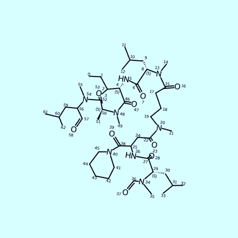 CCC(C)[C@H](NC(=O)[C@H](CC(C)C)N(C)C(=O)CCCN(C)C(=O)CC(NC(=O)[C@H](CC(C)C)N(C)C=O)C(=O)N1CCCCC1)C(=O)N(C)[C@@H](C)C(=O)N(C)C(C=O)CC(C)C